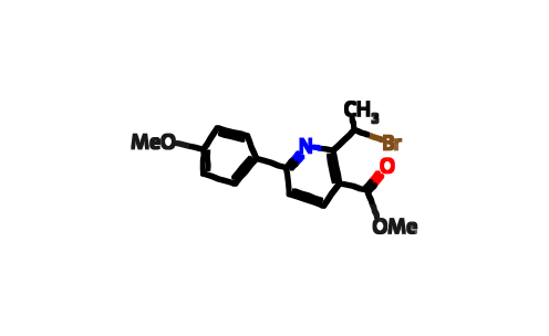 COC(=O)c1ccc(-c2ccc(OC)cc2)nc1C(C)Br